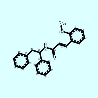 CCCCOc1ccccc1/C=C/C(=O)NC(Cc1ccccc1)c1ccccc1